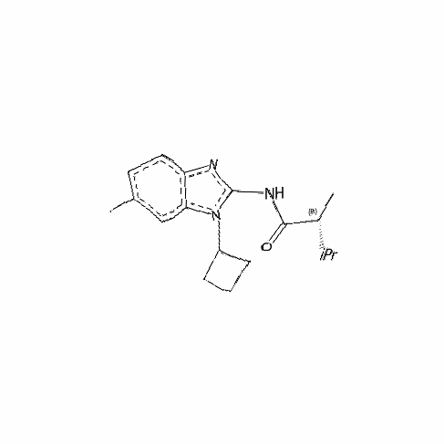 Cc1ccc2nc(NC(=O)[C@H](C)C(C)C)n(C3CCC3)c2c1